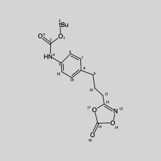 CC(C)(C)OC(=O)Nc1ccc(CCCc2noc(=O)o2)cc1